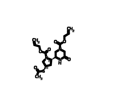 C=CCOC(=O)N1CC(=O)NC([C@@H]2C[C@H](SC(C)=O)CN2C(=O)OCC=C)C1